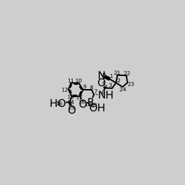 N#CC1(CC(=O)N[C@H]2Cc3cccc(C(=O)O)c3OB2O)CCCC1